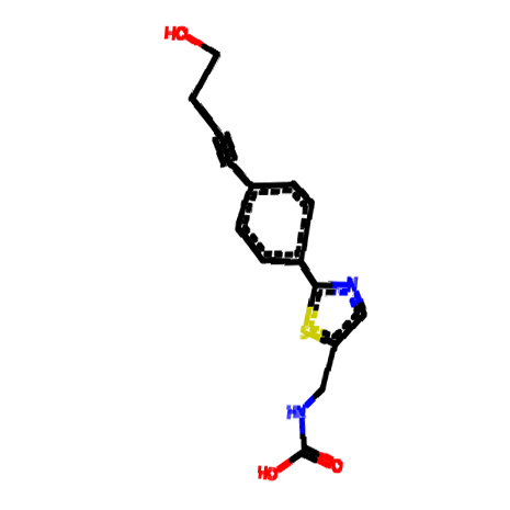 O=C(O)NCc1cnc(-c2ccc(C#CCCO)cc2)s1